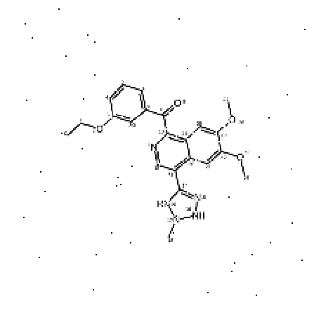 CCOc1cccc(C(=O)c2ncc(C3=NNN(C)N3)c3cc(OC)c(OC)cc23)c1